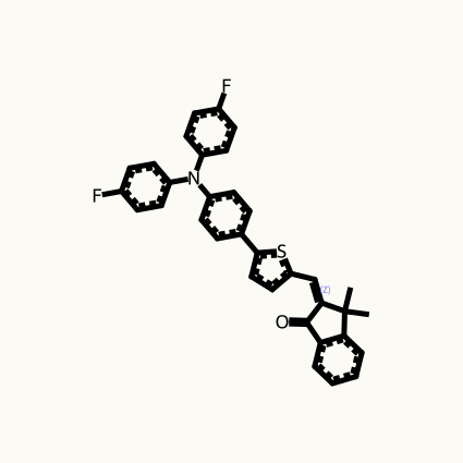 CC1(C)/C(=C/c2ccc(-c3ccc(N(c4ccc(F)cc4)c4ccc(F)cc4)cc3)s2)C(=O)c2ccccc21